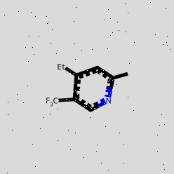 CCc1cc(C)ncc1C(F)(F)F